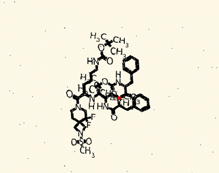 CC(C)CC(NC(=O)C(Cc1ccccc1)NC(=O)C(Cc1ccccc1)NC(=O)OC(C)(C)C)C(=O)NC(CCCCNC(=O)OC(C)(C)C)C(=O)N1CCC2(CN(S(C)(=O)=O)C2)C(F)(F)C1